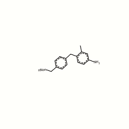 CCCCCCCCCCc1ccc(Cc2ccc(N)cc2C)cc1